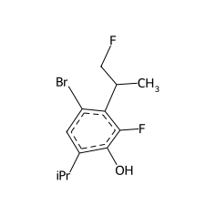 CC(C)c1cc(Br)c(C(C)CF)c(F)c1O